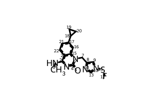 CNc1nc(=O)n(Cc2cn(SF)cn2)c2cc(C3CC3)ccc12